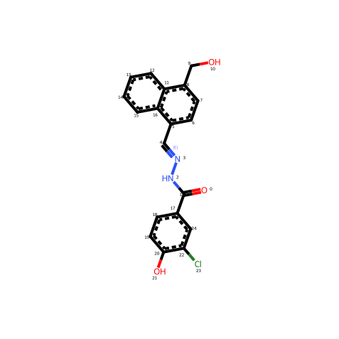 O=C(N/N=C/c1ccc(CO)c2ccccc12)c1ccc(O)c(Cl)c1